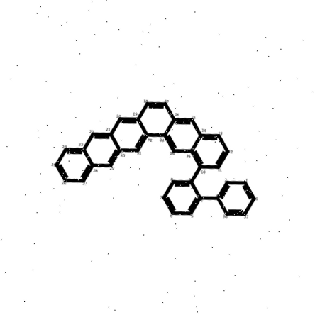 c1ccc(-c2ccccc2-c2cccc3cc4ccc5cc6cc7ccccc7cc6cc5c4cc23)cc1